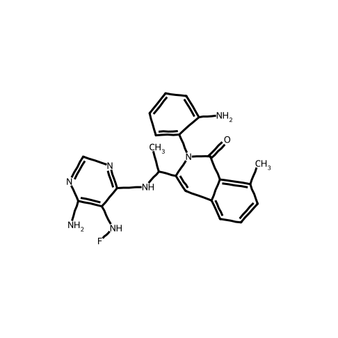 Cc1cccc2cc(C(C)Nc3ncnc(N)c3NF)n(-c3ccccc3N)c(=O)c12